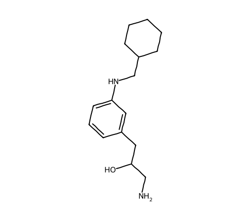 NCC(O)Cc1cccc(NCC2CCCCC2)c1